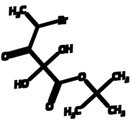 CC(Br)C(=O)C(O)(O)C(=O)OC(C)(C)C